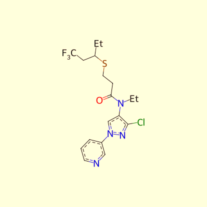 CCC(CC(F)(F)F)SCCC(=O)N(CC)c1cn(-c2cccnc2)nc1Cl